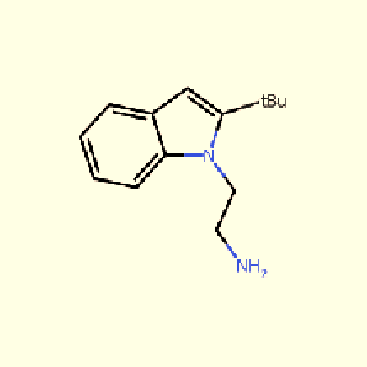 CC(C)(C)c1cc2ccccc2n1CCN